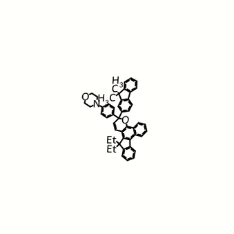 CCC1(CC)c2ccccc2-c2c1c1c(c3ccccc23)OC(c2ccc(N3CCOCC3)cc2)(c2ccc3c(c2)C(C)(C)c2ccccc2-3)C=C1